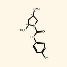 CO[C@@H]1C[C@H](C(=O)O)N(C(=O)Nc2ccc(C(C)C)cc2)C1